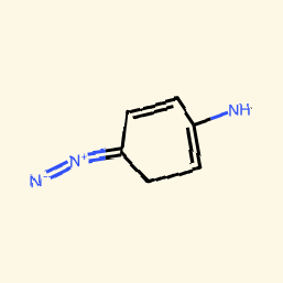 [N-]=[N+]=C1C=CC([NH])=CC1